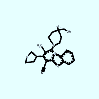 Cc1c(C2CCOC2)c(C#N)c2nc3ccccc3n2c1N1CCC(C)(CO)CC1